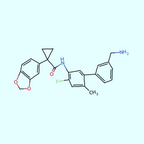 Cc1cc(F)c(NC(=O)C2(c3ccc4c(c3)OCO4)CC2)cc1-c1cccc(CN)c1